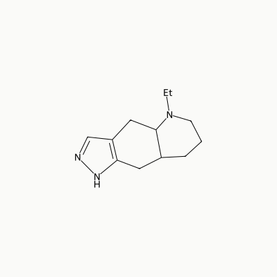 CCN1CCCC2Cc3[nH]ncc3CC21